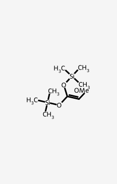 COC=C(O[Si](C)(C)C)O[Si](C)(C)C